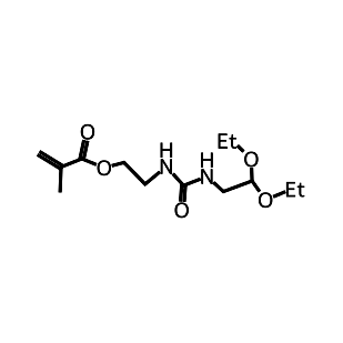 C=C(C)C(=O)OCCNC(=O)NCC(OCC)OCC